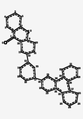 O=c1c2ccccc2sc2ccc(-c3cccc(-c4ccc5c6ccccc6c6ccccc6c5c4)c3)cc12